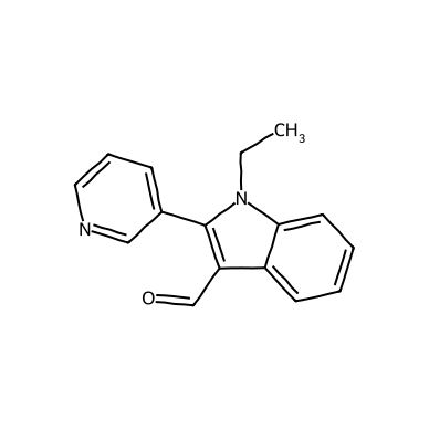 CCn1c(-c2cccnc2)c(C=O)c2ccccc21